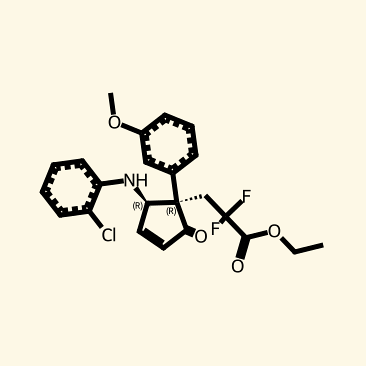 CCOC(=O)C(F)(F)C[C@]1(c2cccc(OC)c2)C(=O)C=C[C@H]1Nc1ccccc1Cl